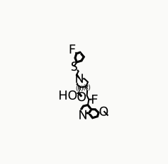 COc1ccc2nccc(C(F)CC[C@@H]3CCN(CCSc4cccc(F)c4)C[C@@H]3C(=O)O)c2c1